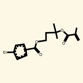 C=C(C)C(=O)OC(C)(C)CCOC(=O)c1ccc(CC)cc1